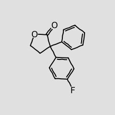 O=C1OCCC1(c1ccccc1)c1ccc(F)cc1